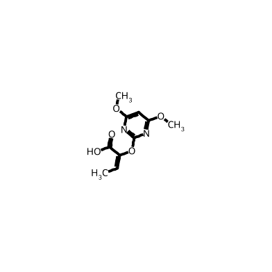 C/C=C(/Oc1nc(OC)cc(OC)n1)C(=O)O